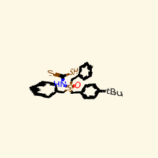 CC(C)(C)c1ccc(CS(=O)(Cc2ccccc2)(Cc2ccccc2)NC(=S)S)cc1